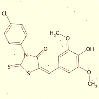 COc1cc(/C=C2/SC(=S)N(c3ccc(Cl)cc3)C2=O)cc(OC)c1O